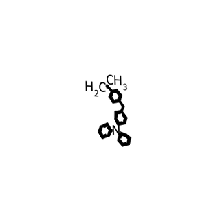 C=C(C)c1ccc(Cc2ccc(N(c3ccccc3)c3ccccc3)cc2)cc1